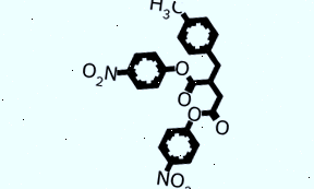 Cc1ccc(CC(CC(=O)Oc2ccc([N+](=O)[O-])cc2)C(=O)Oc2ccc([N+](=O)[O-])cc2)cc1